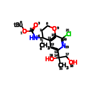 CC(C)(C)OC(=O)N[C@@]1(C)CCOc2c1cc(C(C)(O)CO)nc2Cl